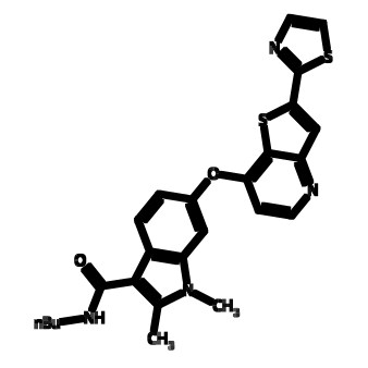 CCCCNC(=O)c1c(C)n(C)c2cc(Oc3ccnc4cc(-c5nccs5)sc34)ccc12